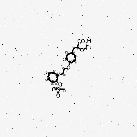 CCOC(Cc1ccc(OCCc2ccccc2OS(C)(=O)=O)cc1)C(=O)O